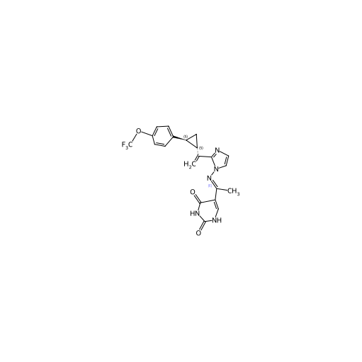 C=C(c1nccn1/N=C(\C)c1c[nH]c(=O)[nH]c1=O)[C@H]1C[C@@H]1c1ccc(OC(F)(F)F)cc1